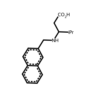 CC(C)C(CC(=O)O)NCc1ccc2ccccc2c1